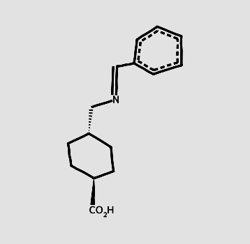 O=C(O)[C@H]1CC[C@H](CN=Cc2ccccc2)CC1